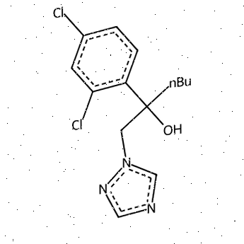 CCCCC(O)(Cn1cncn1)c1ccc(Cl)cc1Cl